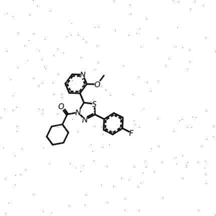 COc1ncccc1C1SC(c2ccc(F)cc2)=NN1C(=O)C1CCCCC1